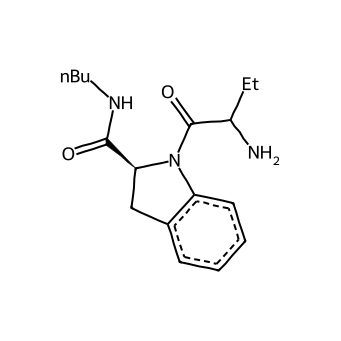 CCCCNC(=O)[C@@H]1Cc2ccccc2N1C(=O)C(N)CC